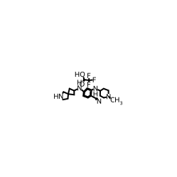 CN1CCC(Nc2cc(NC3CC4(CCNC4)C3)ccc2C#N)CC1.O=C(O)C(F)(F)F